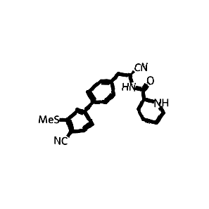 CSc1cc(-c2ccc(C[C@@H](C#N)NC(=O)C3CCCCN3)cc2)ccc1C#N